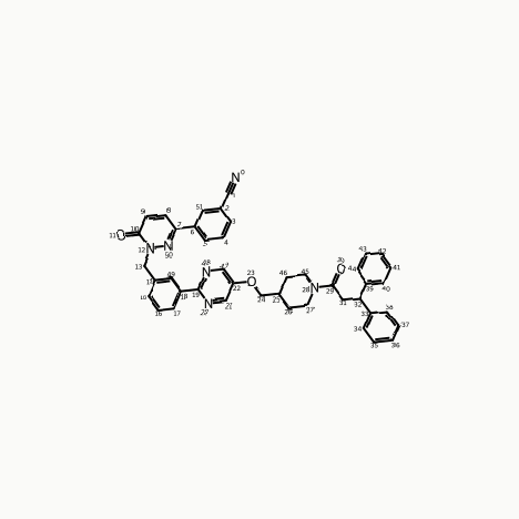 N#Cc1cccc(-c2ccc(=O)n(Cc3cccc(-c4ncc(OCC5CCN(C(=O)CC(c6ccccc6)c6ccccc6)CC5)cn4)c3)n2)c1